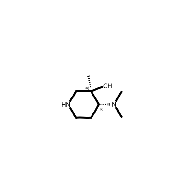 CN(C)[C@@H]1CCNC[C@@]1(C)O